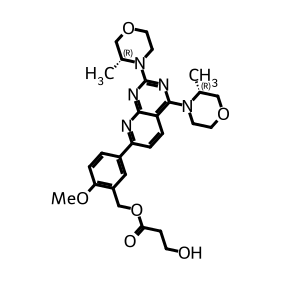 COc1ccc(-c2ccc3c(N4CCOC[C@H]4C)nc(N4CCOC[C@H]4C)nc3n2)cc1COC(=O)CCO